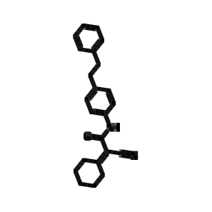 N#CC(C(=O)Nc1ccc(CCc2ccccc2)cc1)=C1CCCCC1